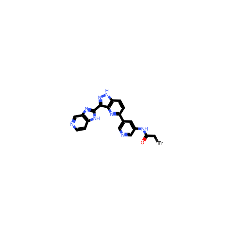 CC(C)CC(=O)Nc1cncc(-c2ccc3[nH]nc(-c4nc5cnccc5[nH]4)c3n2)c1